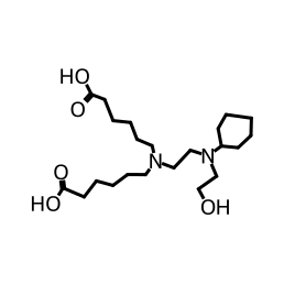 O=C(O)CCCCCN(CCCCCC(=O)O)CCN(CCO)C1CCCCC1